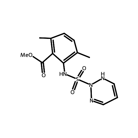 COC(=O)c1c(C)ccc(C)c1NS(=O)(=O)N1N=CC=CN1